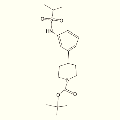 CC(C)S(=O)(=O)Nc1cccc(C2CCN(C(=O)OC(C)(C)C)CC2)c1